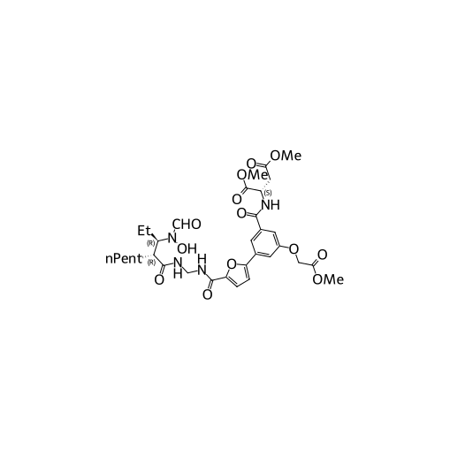 CCCCC[C@@H](C(=O)NCNC(=O)c1ccc(-c2cc(OCC(=O)OC)cc(C(=O)N[C@@H](CC(=O)OC)C(=O)OC)c2)o1)[C@@H](CC)N(O)C=O